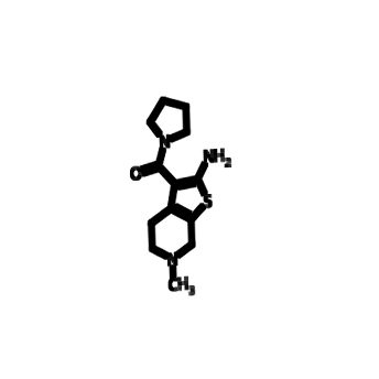 CN1CCc2c(sc(N)c2C(=O)N2CCCC2)C1